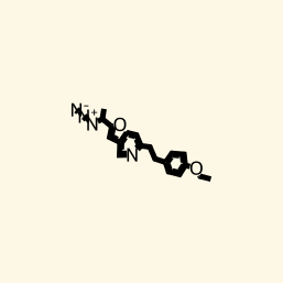 CCOc1ccc(CCc2cc3oc(C(C)N=[N+]=[N-])cc3cn2)cc1